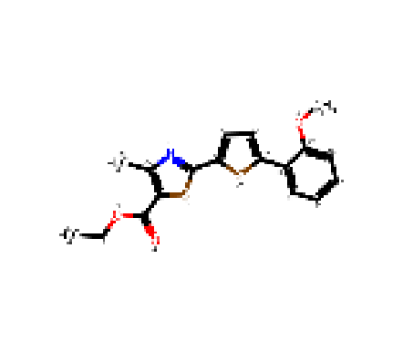 CCOC(=O)c1sc(-c2ccc(-c3ccccc3OC)s2)nc1C